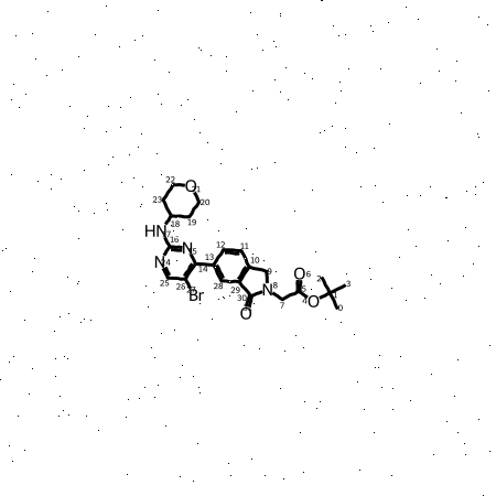 CC(C)(C)OC(=O)CN1Cc2ccc(-c3nc(NC4CCOCC4)ncc3Br)cc2C1=O